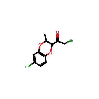 CC1Oc2cc(Cl)ccc2OC1C(=O)CBr